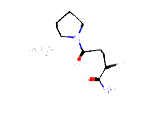 NC(=O)C(CC(=O)N1CCC[C@H]1C(=O)O)C(F)(F)F